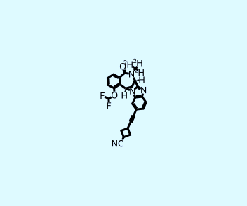 [2H]C([2H])([2H])N1C(=O)c2cccc(OC(F)F)c2[C@H]2C[C@@H]1c1nc3ccc(C#CC4CC(C#N)C4)cc3n12